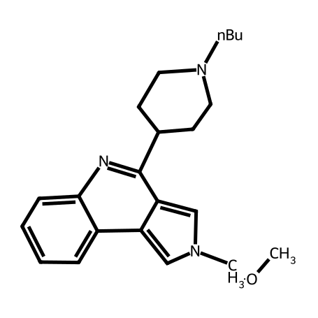 CCCCN1CCC(c2nc3ccccc3c3cn(C)cc23)CC1.C[O]